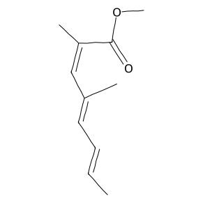 C/C=C/C=C(C)/C=C(/C)C(=O)OC